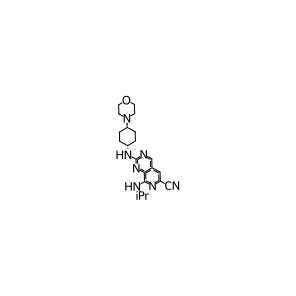 CC(C)Nc1nc(C#N)cc2cnc(N[C@H]3CC[C@H](N4CCOCC4)CC3)nc12